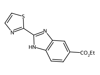 CCOC(=O)c1ccc2[nH]c(-c3nccs3)nc2c1